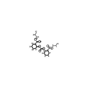 CCCOC(=O)c1ccccc1OC(=O)Oc1ccccc1C(=O)OCCC